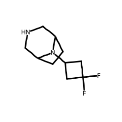 FC1(F)CC(N2C3CCC2CNC3)C1